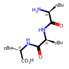 CCCC[C@H](NC(=O)[C@H](CCCC)NC(=O)[C@@H](N)CCCC)C(=O)O